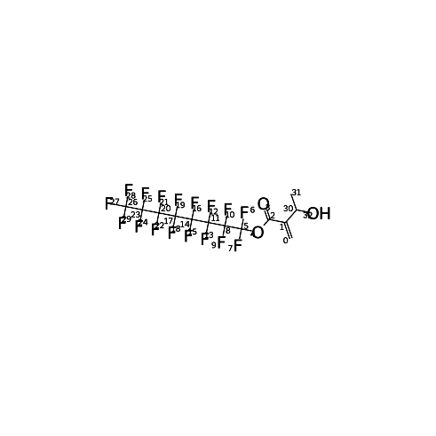 C=C(C(=O)OC(F)(F)C(F)(F)C(F)(F)C(F)(F)C(F)(F)C(F)(F)C(F)(F)C(F)(F)F)C(C)O